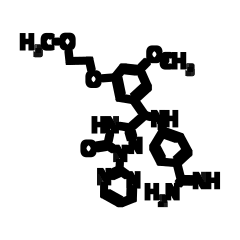 COCCOc1cc(OC)cc(C(Nc2ccc(C(=N)N)cc2)c2nn(-c3ncccn3)c(=O)[nH]2)c1